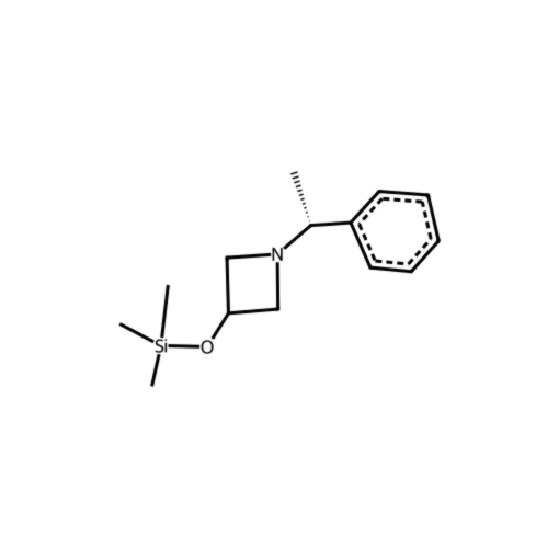 C[C@H](c1ccccc1)N1CC(O[Si](C)(C)C)C1